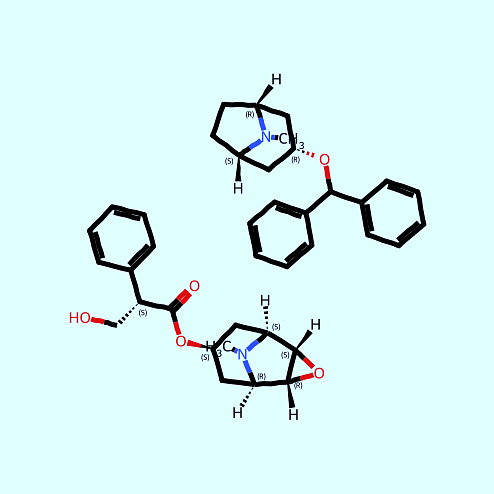 CN1[C@@H]2CC[C@H]1C[C@@H](OC(c1ccccc1)c1ccccc1)C2.CN1[C@@H]2C[C@@H](OC(=O)[C@H](CO)c3ccccc3)C[C@H]1[C@@H]1O[C@@H]12